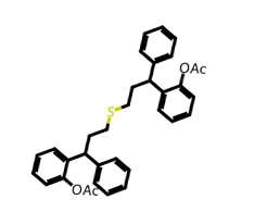 CC(=O)Oc1ccccc1C(CCSCCC(c1ccccc1)c1ccccc1OC(C)=O)c1ccccc1